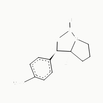 COc1ccc([C@H]2OP(Cl)N3CCC[C@@H]23)cc1